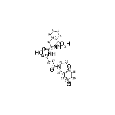 O=C(O)NC(CC1CCCCC1)C(=O)NC(CO)CCC(=O)N1CCOc2ccc(Cl)cc2C1